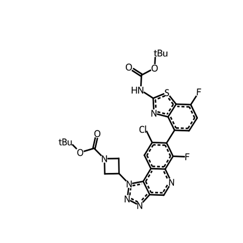 CC(C)(C)OC(=O)Nc1nc2c(-c3c(Cl)cc4c(ncc5nnn(C6CN(C(=O)OC(C)(C)C)C6)c54)c3F)ccc(F)c2s1